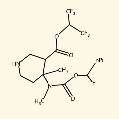 CCCC(F)OC(=O)N(C)C1(C)CCNCC1C(=O)OC(C(F)(F)F)C(F)(F)F